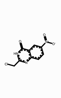 O=c1[nH]c(CCl)nc2ccc([N+](=O)[O-])cc12